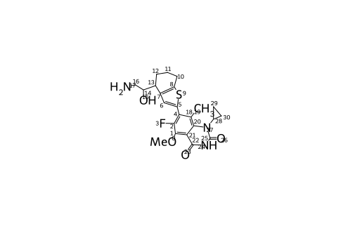 COc1c(F)c(-c2cc3c(s2)CCCC3C(O)CN)c(C)c2c1c(=O)[nH]c(=O)n2C1CC1